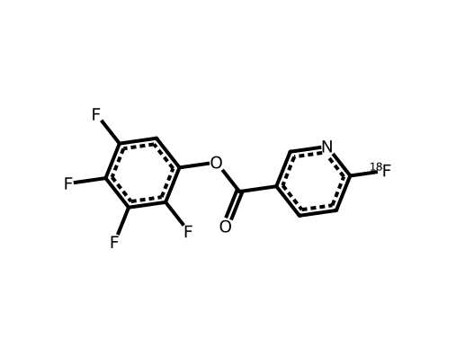 O=C(Oc1cc(F)c(F)c(F)c1F)c1ccc([18F])nc1